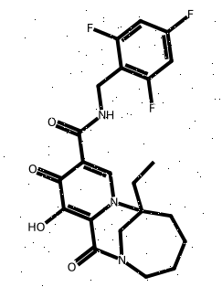 CCC12CCCCN(C1)C(=O)c1c(O)c(=O)c(C(=O)NCc3c(F)cc(F)cc3F)cn12